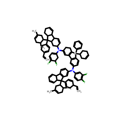 C=CC1=CC=C(C2(C3CC(C)=CCC3C)C3CCC=CC3C3C=CC(N(C4=CC5=C(CC4)[Si](c4ccccc4)(C4CC=CCC4)c4ccc(N(c6ccc(F)c(F)c6)c6ccc7c(c6)C(C6=CCC(C=C)C=C6)(C6CC(C)=CCC6C)C6C=CC=CC76)cc45)C4=CC=C(F)C(F)C4)CC32)CC1